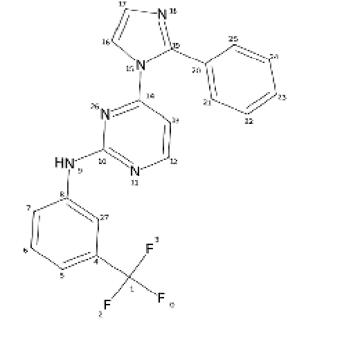 FC(F)(F)c1cccc(Nc2nccc(-n3ccnc3-c3ccccc3)n2)c1